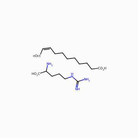 CCCCCCCC/C=C\CCCCCCCC(=O)O.N=C(N)NCCCC(N)C(=O)O